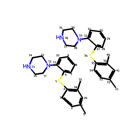 Cc1ccc(Sc2ccccc2N2CCNCC2)c(C)c1.Cc1ccc(Sc2ccccc2N2CCNCC2)c(C)c1